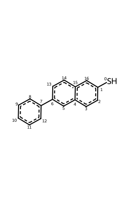 Sc1ccc2cc(-c3ccccc3)ccc2c1